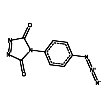 [N-]=[N+]=Nc1ccc(N2C(=O)N=NC2=O)cc1